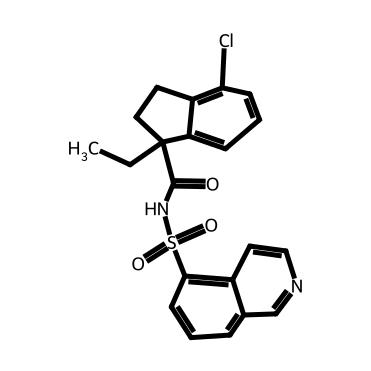 CCC1(C(=O)NS(=O)(=O)c2cccc3cnccc23)CCc2c(Cl)cccc21